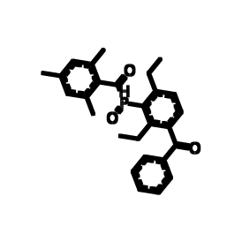 CCc1ccc(C(=O)c2ccccc2)c(CC)c1[PH](=O)C(=O)c1c(C)cc(C)cc1C